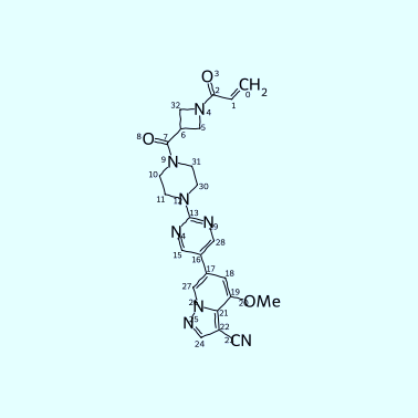 C=CC(=O)N1CC(C(=O)N2CCN(c3ncc(-c4cc(OC)c5c(C#N)cnn5c4)cn3)CC2)C1